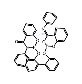 O=C1c2ccccc2OP(Oc2ccccc2-c2ccccc2OP2O/C(=N/c3ccccc3)c3ccccc3O2)N1c1ccccc1